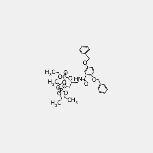 CCOP(=O)(OCC)OCC(CNC(=O)c1cc(OCc2ccccc2)ccc1OCc1ccccc1)OP(=O)(OCC)OCC